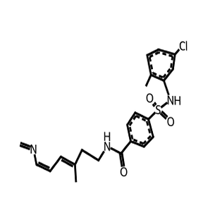 C=N/C=C\C=C(/C)CCNC(=O)c1ccc(S(=O)(=O)Nc2cc(Cl)ccc2C)cc1